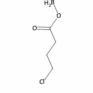 BOC(=O)CCCCl